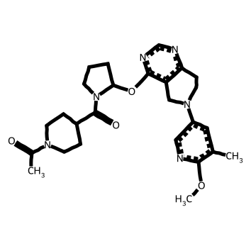 COc1ncc(N2CCc3ncnc(OC4CCCN4C(=O)C4CCN(C(C)=O)CC4)c3C2)cc1C